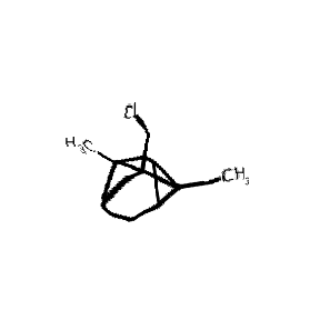 CC1(CCl)C2CC3C(C2)C31C